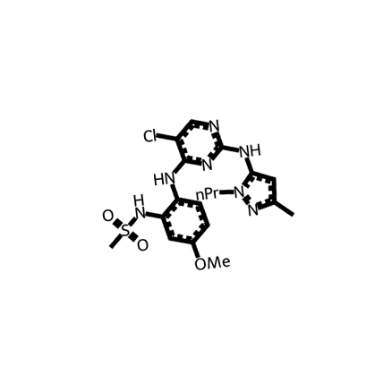 CCCn1nc(C)cc1Nc1ncc(Cl)c(Nc2ccc(OC)cc2NS(C)(=O)=O)n1